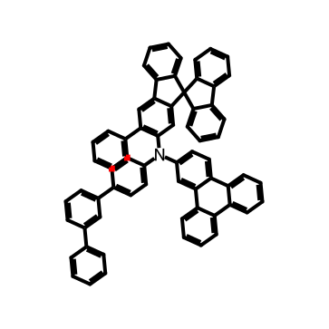 c1ccc(-c2cccc(-c3ccc(N(c4ccc5c6ccccc6c6ccccc6c5c4)c4cc5c(cc4-c4ccccc4)-c4ccccc4C54c5ccccc5-c5ccccc54)cc3)c2)cc1